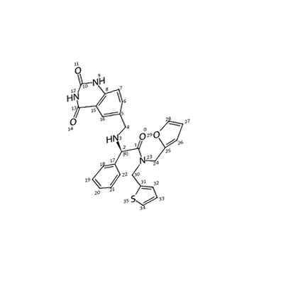 O=C([C@H](NCc1ccc2[nH]c(=O)[nH]c(=O)c2c1)c1ccccc1)N(Cc1ccco1)Cc1cccs1